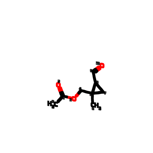 CC(=O)OCC1(C)CC1C=O